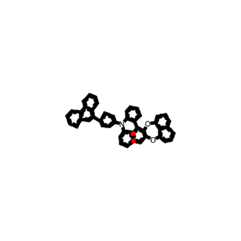 c1ccc(N(c2ccc(-c3cc4ccccc4c4ccccc34)cc2)c2ccccc2-c2cccc3c2Oc2cccc4cccc(c24)O3)cc1